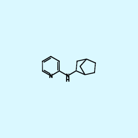 c1ccc(NC2CC3CCC2C3)nc1